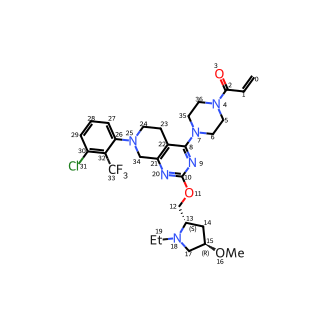 C=CC(=O)N1CCN(c2nc(OC[C@@H]3C[C@@H](OC)CN3CC)nc3c2CCN(c2cccc(Cl)c2C(F)(F)F)C3)CC1